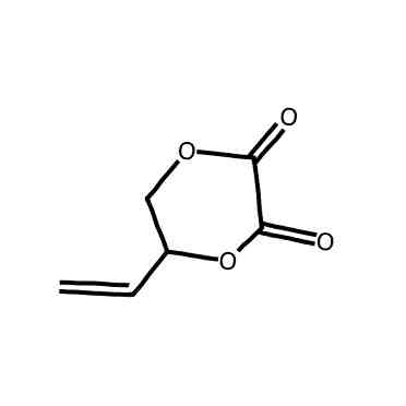 C=CC1COC(=O)C(=O)O1